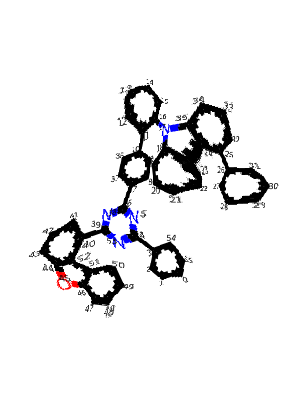 c1ccc(-c2nc(-c3ccc(-c4ccccc4-n4c5ccccc5c5c(-c6ccccc6)cccc54)cc3)nc(-c3cccc4oc5ccccc5c34)n2)cc1